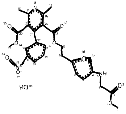 COC(=O)CNc1ccc(CCOC(=O)c2c(C)nc(C)c(C(=O)OC)c2-c2cccc([N+](=O)[O-])c2)cc1.Cl